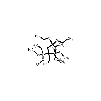 CCOC(CC(CC)([Si](OC)(OC)OC)[Si](OC)(OC)OC)(OCC)OCC